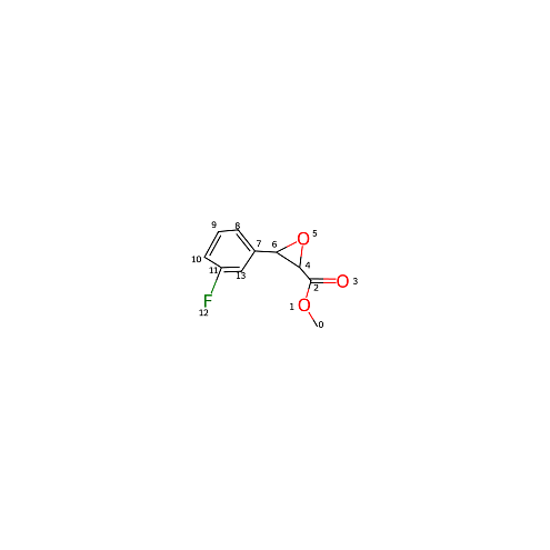 COC(=O)C1OC1c1cccc(F)c1